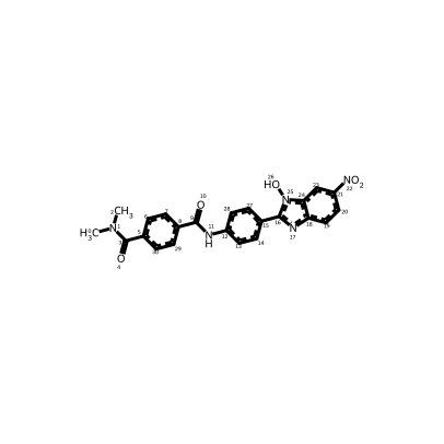 CN(C)C(=O)c1ccc(C(=O)Nc2ccc(-c3nc4ccc([N+](=O)[O-])cc4n3O)cc2)cc1